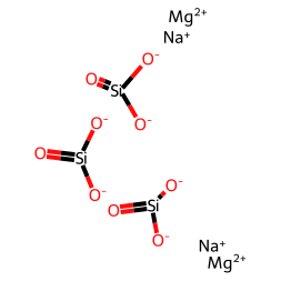 O=[Si]([O-])[O-].O=[Si]([O-])[O-].O=[Si]([O-])[O-].[Mg+2].[Mg+2].[Na+].[Na+]